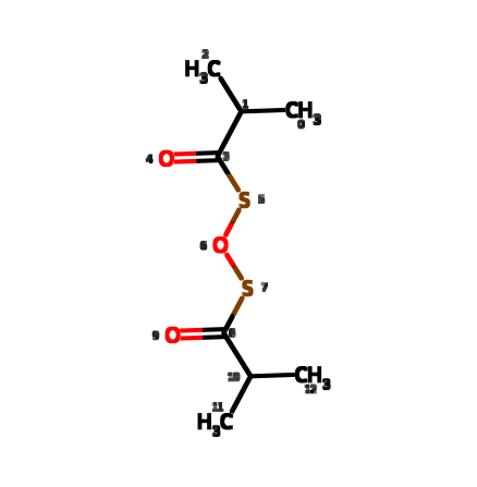 CC(C)C(=O)SOSC(=O)C(C)C